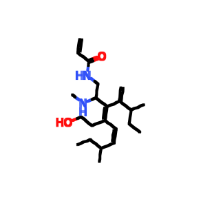 C=CC(=O)NCC(NC)/C(C(=C)C(C)CC)=C(/C=C\C(C)CC)CCO